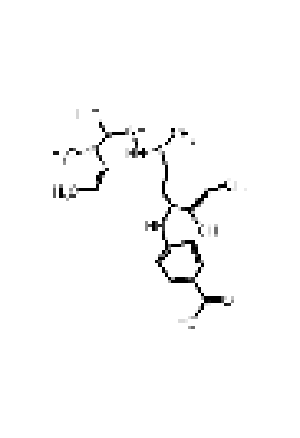 C/C=N\N(C)C(C)NNN(C)CCC(Nc1ccc(C(=O)O)cc1)/C(C)=C/C